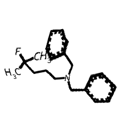 CC(C)(F)CCCN(Cc1ccccc1)Cc1ccccc1